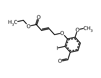 CCOC(=O)C=CCOc1c(OC)ccc(C=O)c1I